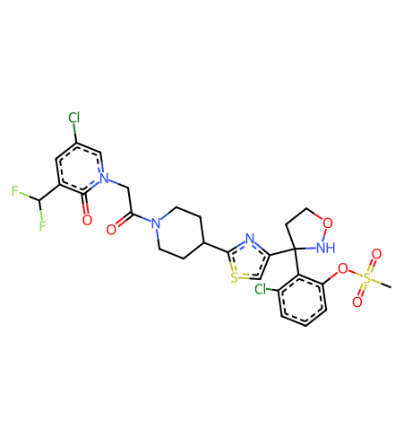 CS(=O)(=O)Oc1cccc(Cl)c1C1(c2csc(C3CCN(C(=O)Cn4cc(Cl)cc(C(F)F)c4=O)CC3)n2)CCON1